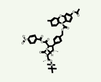 CC(=O)Oc1ccc2c(c1)Oc1cc(C)ccc1N2C(=O)OCc1ccc(C2C(C(=O)OC(=O)c3ccc([N+](=O)[O-])cc3)N3C(=O)[C@H]([C@@H](C)O[Si](C)(C)C(C)(C)C)[C@H]3[C@H]2C)cc1